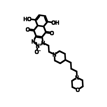 O=C1c2n[n+]([O-])n(CCN3CCC(CCCN4CCOCC4)CC3)c2C(=O)C2C(O)=CC=C(O)C12